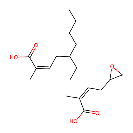 CC(=CCC1CO1)C(=O)O.CCCCC(CC)CC=C(C)C(=O)O